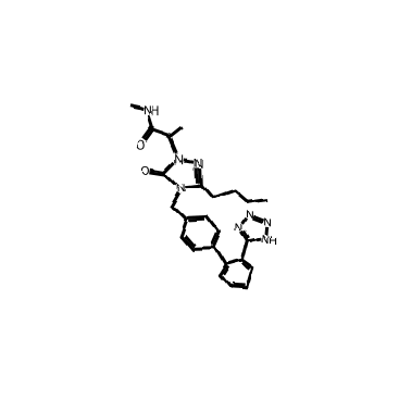 CCCCc1nn(C(C)C(=O)NC)c(=O)n1Cc1ccc(-c2ccccc2-c2nnn[nH]2)cc1